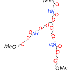 CNC(=O)CCNC(=O)COC(COCCOCCNC(=O)COCCOCCOC)COCCOCCNC(=O)COCCOCCOC